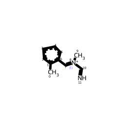 Cc1ccccc1/C=[N+](\C)C=N